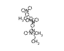 C=C/C=C\C=C(/C)c1nc(-c2ccccc2)cc(-c2ccc(-n3c4ccccc4c4cc5c(cc43)C(C)(C)c3cc4c6ccccc6n(-c6ccccc6)c4cc3-5)cc2)n1